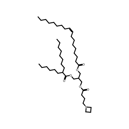 CCCCCCCC/C=C\CCCCCCCC(=O)OCC(COC(=O)CCCN1CCC1)COC(=O)C(CCCCCC)CCCCCCCC